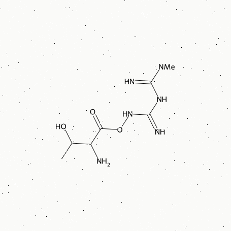 CNC(=N)NC(=N)NOC(=O)C(N)C(C)O